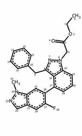 CCOC(=O)Cn1nc(Cc2ccccc2)c2c(-c3cc4c(cnn4C)cc3F)cccc21